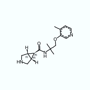 Cc1ccncc1OCC(C)(C)NC(=O)[C@H]1[C@@H]2CNC[C@@H]21